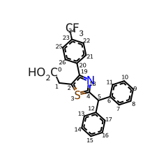 O=C(O)Cc1sc(C(c2ccccc2)c2ccccc2)nc1-c1ccc(C(F)(F)F)cc1